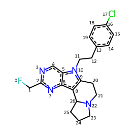 FCc1ncc2c(n1)c1c(n2CCc2ccc(Cl)cc2)CCN2CCCC12